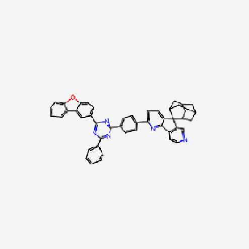 c1ccc(-c2nc(-c3ccc(-c4ccc5c(n4)-c4ccncc4C54C5CC6CC(C5)CC4C6)cc3)nc(-c3ccc4oc5ccccc5c4c3)n2)cc1